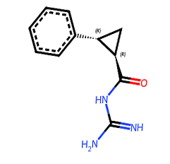 N=C(N)NC(=O)[C@@H]1C[C@H]1c1ccccc1